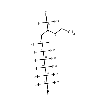 CCCC(CC(F)(F)C(F)(F)C(F)(F)C(F)(F)C(F)(F)C(F)(F)F)C(F)(F)F